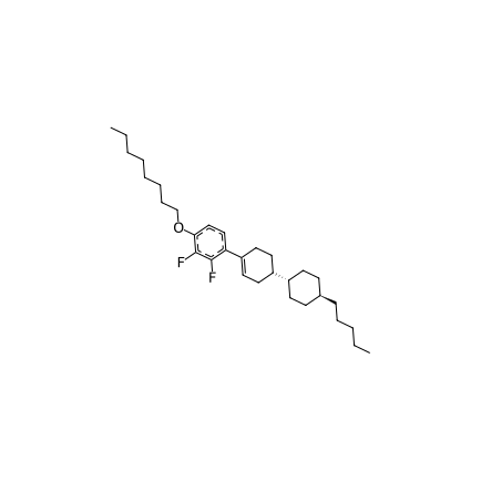 CCCCCCCCOc1ccc(C2=CCC([C@H]3CC[C@H](CCCCC)CC3)CC2)c(F)c1F